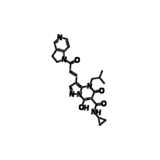 CC(C)Cn1c(=O)c(C(=O)NC2CC2)c(O)n2ncc(C=CC(=O)N3CCc4cnccc43)c12